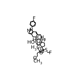 COCCC(=O)O[C@]1(C(=O)SCF)CC[C@H]2[C@@H]3CCC4=Cc5c(cnn5-c5ccc(F)cc5)C[C@]4(C)[C@H]3[C@@H](O)C[C@@]21C